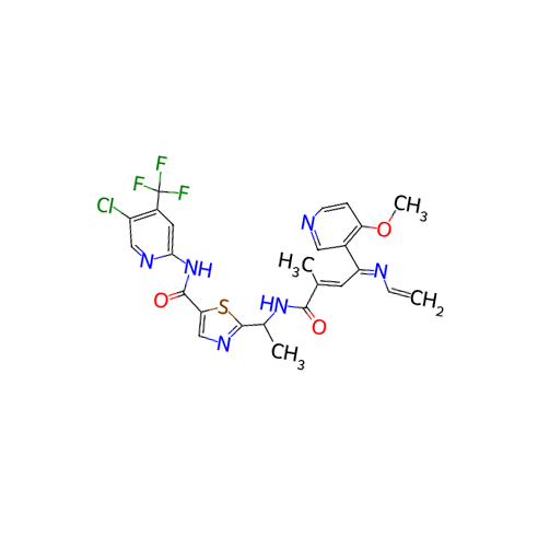 C=C/N=C(\C=C(/C)C(=O)NC(C)c1ncc(C(=O)Nc2cc(C(F)(F)F)c(Cl)cn2)s1)c1cnccc1OC